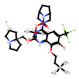 CC(C)(C)OC(=O)N1C2CCC1CN(c1nc(OC[C@@]34CCCN3C[C@H](F)C4)nc3c(OCC[Si](C)(C)C)c(Br)c(C(F)(F)F)cc13)C2